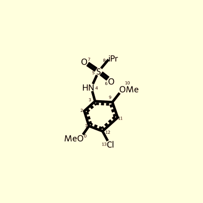 COc1cc(NS(=O)(=O)C(C)C)c(OC)cc1Cl